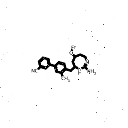 CCOC1CC/N=C(/N)NC(Cc2ccc(-c3cccc(C#N)c3)cc2C)C1